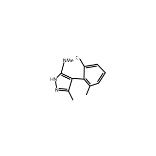 CNc1[nH]nc(C)c1-c1c(C)cccc1Cl